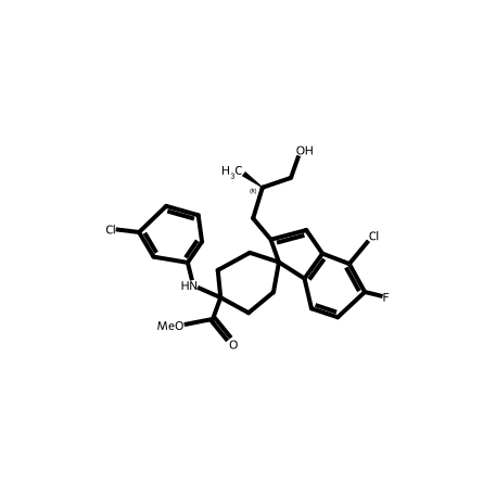 COC(=O)C1(Nc2cccc(Cl)c2)CCC2(CC1)C(C[C@@H](C)CO)=Cc1c2ccc(F)c1Cl